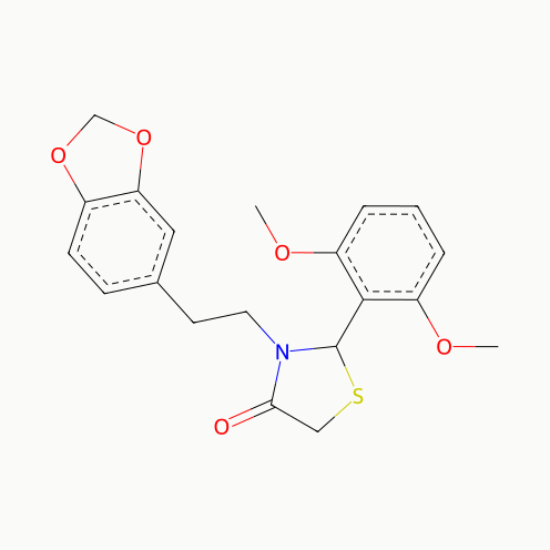 COc1cccc(OC)c1C1SCC(=O)N1CCc1ccc2c(c1)OCO2